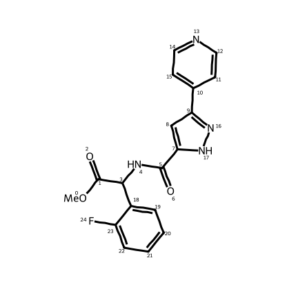 COC(=O)C(NC(=O)c1cc(-c2ccncc2)n[nH]1)c1ccccc1F